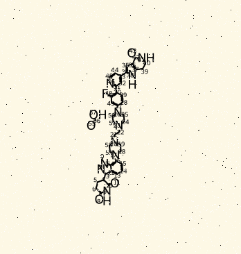 Cn1nc(C2CCC(=O)NC2=O)c2cccc(N3CCN(CCN4CCN(c5ccc(-c6cc(-c7cc8c([nH]7)CCNC8=O)ccn6)c(F)c5)CC4)CC3)c21.O=CO